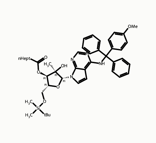 CCCCCCCC(=O)O[C@@H]1[C@@H](CO[Si](C)(C)C(C)(C)C)O[C@@H](n2ccc3c(NC(c4ccccc4)(c4ccccc4)c4ccc(OC)cc4)ncnc32)[C@]1(C)O